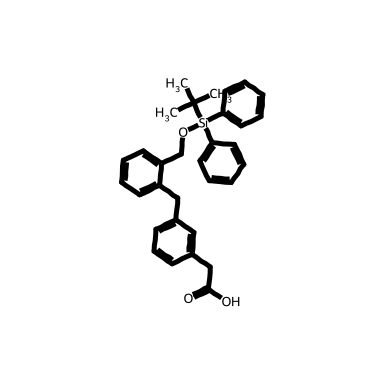 CC(C)(C)[Si](OCc1ccccc1Cc1cccc(CC(=O)O)c1)(c1ccccc1)c1ccccc1